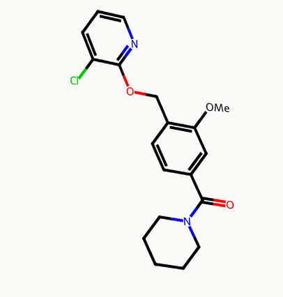 COc1cc(C(=O)N2CCCCC2)ccc1COc1ncccc1Cl